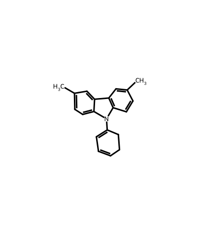 Cc1ccc2c(c1)c1cc(C)ccc1n2C1=CC=CCC1